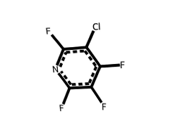 Fc1nc(F)c(Cl)c(F)c1F